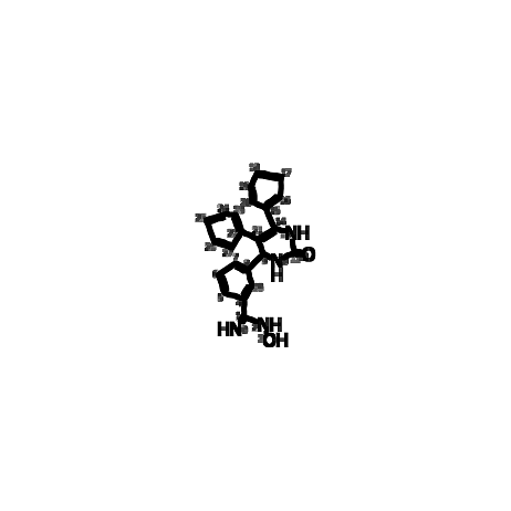 N=C(NO)c1cccc(C2NC(=O)NC(c3ccccc3)=C2c2ccccc2)c1